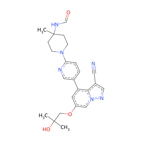 CC(C)(O)COc1cc(-c2ccc(N3CCC(C)(NC=O)CC3)nc2)c2c(C#N)cnn2c1